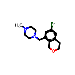 CN1CCN(Cc2cc(Br)cc3c2COCC3)CC1